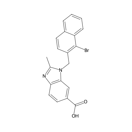 Cc1nc2ccc(C(=O)O)cc2n1Cc1ccc2ccccc2c1Br